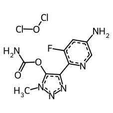 ClOCl.Cn1nnc(-c2ncc(N)cc2F)c1OC(N)=O